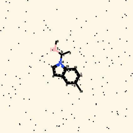 CBC(C)n1ccc2cc(C)ccc21